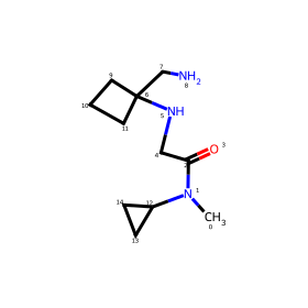 CN(C(=O)CNC1(CN)CCC1)C1CC1